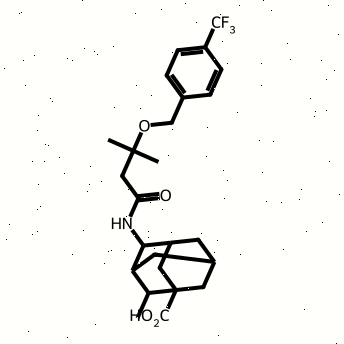 CC1C2CC3CC(CC1(C(=O)O)C3)C2NC(=O)CC(C)(C)OCc1ccc(C(F)(F)F)cc1